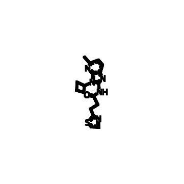 Cc1ccc2nc(NC(=O)CCc3nccs3)n(C3CCC3)c2n1